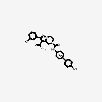 N#Cc1ccc(C23CCC(NC(=O)N4CCn5nc(-c6cccc(Cl)c6)c(C(N)=O)c5C4)(CC2)CC3)cc1